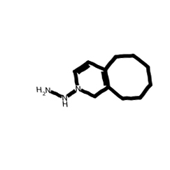 NNN1C=CC2=C(CCCCCC2)C1